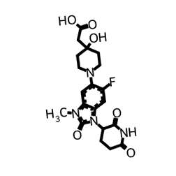 Cn1c(=O)n(C2CCC(=O)NC2=O)c2cc(F)c(N3CCC(O)(CC(=O)O)CC3)cc21